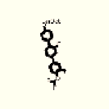 CCCCCCCCOc1ccc(-c2ccc(-c3ccc(OC(F)F)c(F)c3)cc2F)cc1